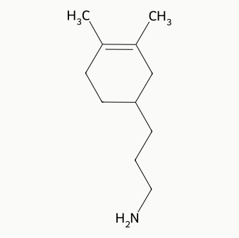 CC1=C(C)CC(CCCN)CC1